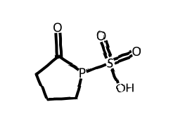 O=C1CCCP1S(=O)(=O)O